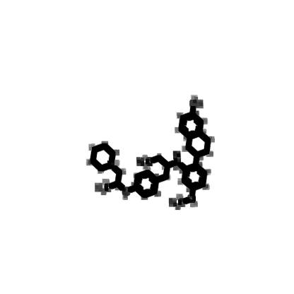 CCC(Cc1ccc(OC(C)CN2CCCCC2)cc1)Nc1cc(OC)ccc1C1CCc2cc(O)ccc2C1